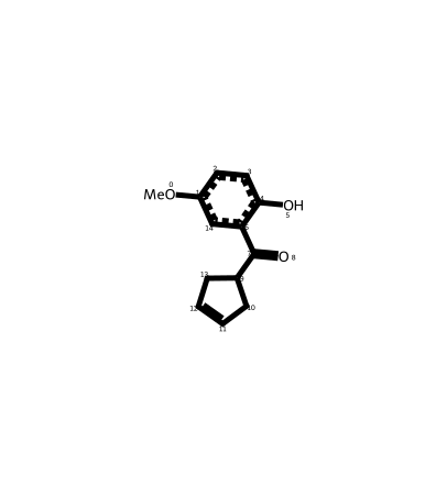 COc1ccc(O)c(C(=O)C2CC=CC2)c1